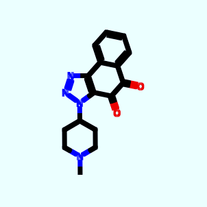 CN1CCC(n2nnc3c2C(=O)C(=O)c2ccccc2-3)CC1